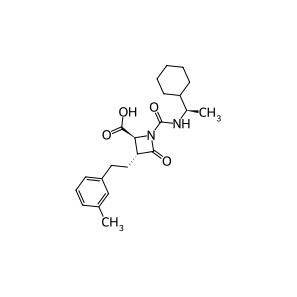 Cc1cccc(CC[C@H]2C(=O)N(C(=O)N[C@H](C)C3CCCCC3)[C@@H]2C(=O)O)c1